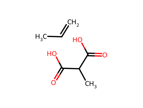 C=CC.CC(C(=O)O)C(=O)O